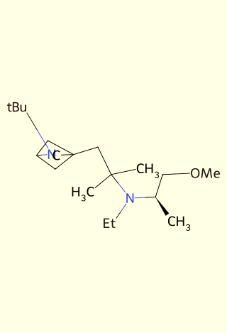 CCN([C@H](C)COC)C(C)(C)CC12CC(C1)N(C(C)(C)C)C2